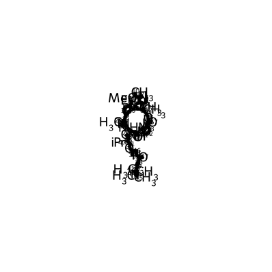 CCn1c(-c2cccnc2[C@H](C)OC)c2c3cc(ccc31)-c1nc(nn1C)C[C@H](NC(=O)[C@@H](COC1CN(C(=O)C#CC(C)(C)N(C)C)C1)C(C)C)C(=O)N1CCC[C@H](N1)C(=O)OCC(C)(C)C2